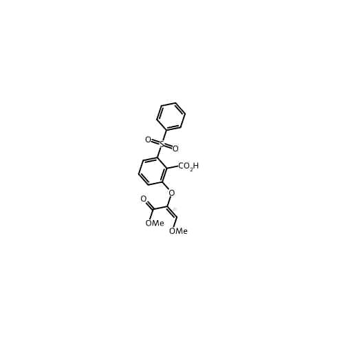 CO/C=C(/Oc1cccc(S(=O)(=O)c2ccccc2)c1C(=O)O)C(=O)OC